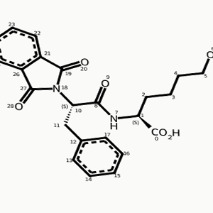 O=C(O)[C@H](CCCCO)NC(=O)[C@H](Cc1ccccc1)N1C(=O)c2ccccc2C1=O